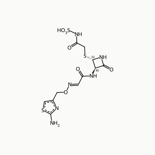 Nc1nc(CON=CC(=O)N[C@@H]2C(=O)N[C@H]2SCC(=O)NS(=O)(=O)O)cs1